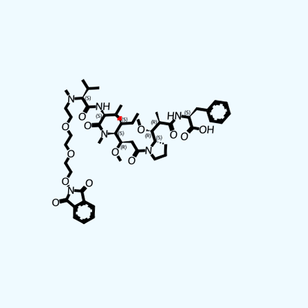 CC[C@H](C)[C@@H]([C@@H](CC(=O)N1CCC[C@H]1[C@H](OC)[C@@H](C)C(=O)N[C@@H](Cc1ccccc1)C(=O)O)OC)N(C)C(=O)[C@@H](NC(=O)[C@H](C(C)C)N(C)CCOCCOCCON1C(=O)c2ccccc2C1=O)C(C)C